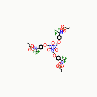 CCCS(=O)(=O)O/N=C(/c1ccc(OCCn2c(=O)n(CCOc3ccc(/C(=N/OS(=O)(=O)CCC)C(F)(F)F)cc3)c(=O)n(CCOc3ccc(/C(=N\OS(=O)(=O)CCC)C(F)(F)F)cc3)c2=O)cc1)C(F)(F)F